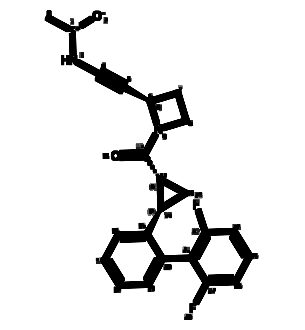 C[S+]([O-])NC#C[C@H]1CCN1C(=O)[C@@H]1C[C@H]1c1ccccc1-c1c(F)cccc1F